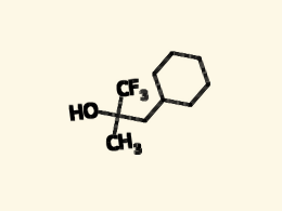 CC(O)(CC1CCCCC1)C(F)(F)F